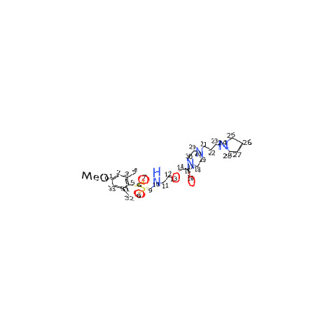 COc1cc(C)c(S(=O)(=O)CNCCOCC(=O)N2CCN(CCCN3CCCC3)CC2)c(C)c1